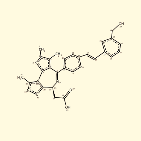 Cc1sc2c(c1C)C(c1ccc(C=Cc3cccc(CO)c3)cc1)=N[C@@H](CC(=O)O)c1nnc(C)n1-2